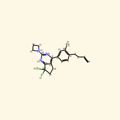 C=CCCc1ccc(-c2nc(N3CCC3)nc3c2CCC3(F)F)cc1CC